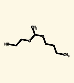 CCCCOC(C)OCCO